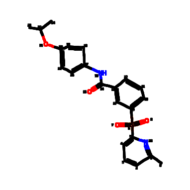 Cc1cccc(S(=O)(=O)c2cccc(C(=O)Nc3ccc(OC(C)C)cc3)c2)n1